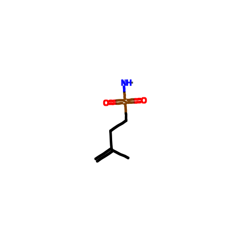 C=C(C)CCS([NH])(=O)=O